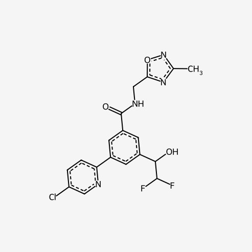 Cc1noc(CNC(=O)c2cc(-c3ccc(Cl)cn3)cc(C(O)C(F)F)c2)n1